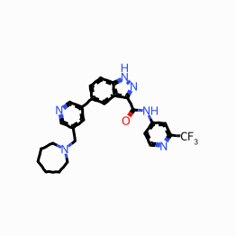 O=C(Nc1ccnc(C(F)(F)F)c1)c1n[nH]c2ccc(-c3cncc(CN4CCCCCC4)c3)cc12